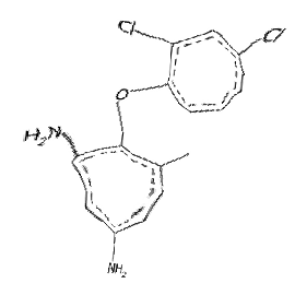 Cc1cc(N)cc(N)c1Oc1ccc(Cl)cc1Cl